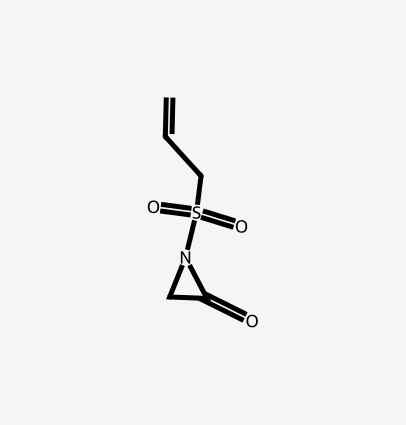 C=CCS(=O)(=O)N1CC1=O